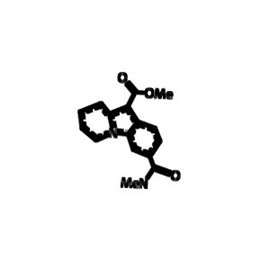 CNC(=O)c1ccc2c(C(=O)OC)c3ccccn3c2c1